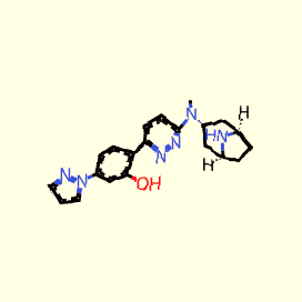 CN(c1ccc(-c2ccc(-n3cccn3)cc2O)nn1)[C@@H]1C[C@H]2CC[C@@H](C1)N2